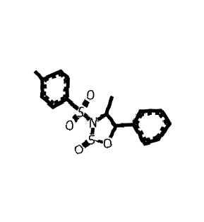 Cc1ccc(S(=O)(=O)N2C(C)C(c3ccccc3)O[S@]2=O)cc1